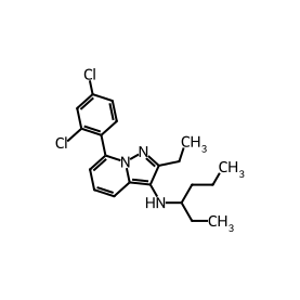 CCCC(CC)Nc1c(CC)nn2c(-c3ccc(Cl)cc3Cl)cccc12